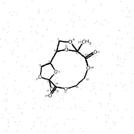 CC12OCC(O1)C1COC(C)(O1)C(=O)OCCOC2=O